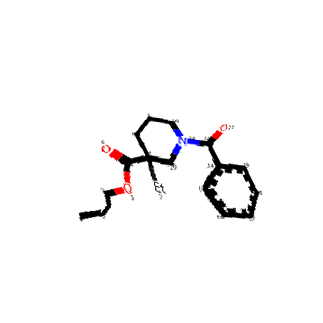 C=CCOC(=O)C1(CC)CCCN(C(=O)c2ccccc2)C1